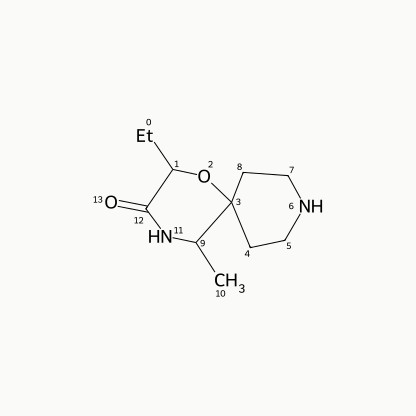 CCC1OC2(CCNCC2)C(C)NC1=O